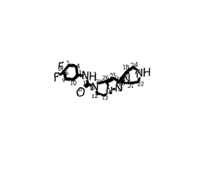 O=C(NC1CCC(F)(F)CC1)N1CCn2nc(N3C4CCC3CNC4)cc2C1